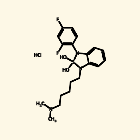 CN(C)CCCCCN1c2ccccc2N(c2ccc(F)cc2F)S1(O)O.Cl